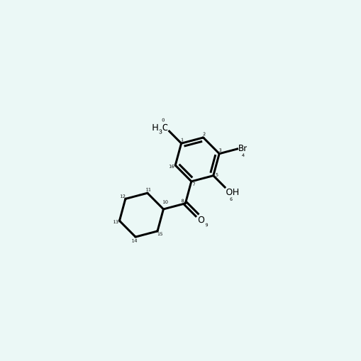 Cc1cc(Br)c(O)c(C(=O)C2CCCCC2)c1